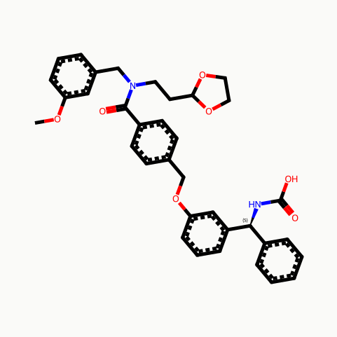 COc1cccc(CN(CCC2OCCO2)C(=O)c2ccc(COc3cccc([C@@H](NC(=O)O)c4ccccc4)c3)cc2)c1